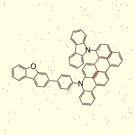 c1ccc(-c2ccc(-c3ccccc3N(c3ccc(-c4ccc5c(c4)oc4ccccc45)cc3)c3ccc(-c4ccccc4-n4c5ccccc5c5ccccc54)cc3)cc2)cc1